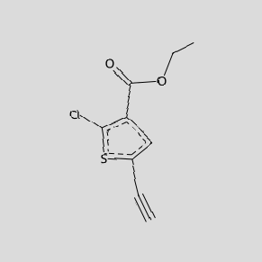 C#Cc1cc(C(=O)OCC)c(Cl)s1